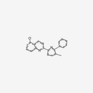 Cc1ccc(-c2ncc3c(Cl)cccc3n2)nc1-c1ccccc1